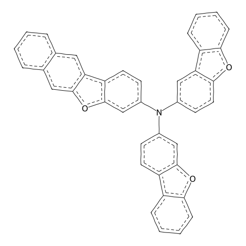 c1ccc2cc3c(cc2c1)oc1cc(N(c2ccc4c(c2)oc2ccccc24)c2ccc4oc5ccccc5c4c2)ccc13